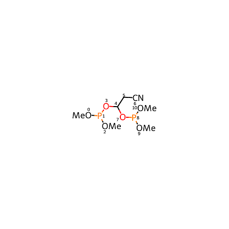 COP(OC)OC(CC#N)OP(OC)OC